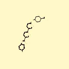 O=C(O)C1CCC(Oc2ccc(-c3ccc(-c4nc5ccc(Cl)cc5[nH]4)cn3)cn2)CC1